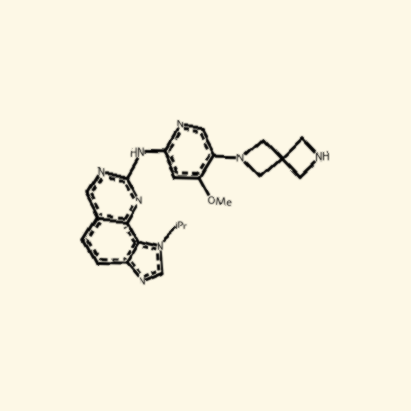 COc1cc(Nc2ncc3ccc4ncn(C(C)C)c4c3n2)ncc1N1CC2(CNC2)C1